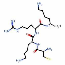 N=C(N)NCCC[C@H](NC(=O)[C@H](CCCCN)NC(=O)[C@@H](N)CS)C(=O)N[C@@H](CCCCN)C(=O)O